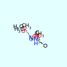 COC(=O)[C@H](CSC#Cc1ccccc1)NC(=O)[C@@H]1CCCN1CCCCCC(=O)OC(C)(C)C.[C]